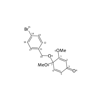 COC1=CC(=O)C=CC1(OC)OCc1ccc(Br)cc1